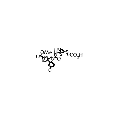 COC(=O)N1CCC2(C1)CN(C(=O)Nc1ncc(SCC(=O)O)s1)c1ccc(Cl)cc12